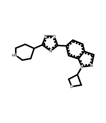 c1cc2cnn(C3COC3)c2cc1-c1nc(C2CCNCC2)no1